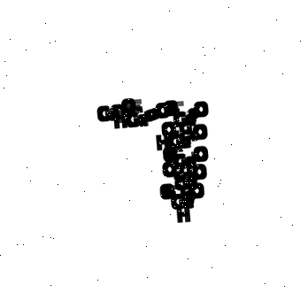 [Cr+3].[Ga+3].[O]=[GeH][O-].[O]=[GeH][O-].[O]=[GeH][O-].[O]=[GeH][O-].[O]=[GeH][O-].[O]=[GeH][O-]